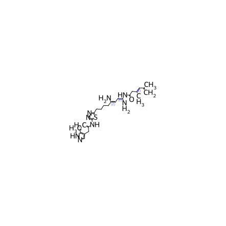 C=C(C)/C=C(\C)CC(=O)N/C(N)=C/C=C(\N)CCCCc1nnc(NC(=C)Cc2cn[nH]c2C)s1